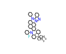 CC1(C)c2ccccc2-c2c(N(c3ccccc3F)c3ccc4ccc5c(N(c6ccccc6)c6ncnc7ccccc67)ccc6ccc3c4c65)cccc21